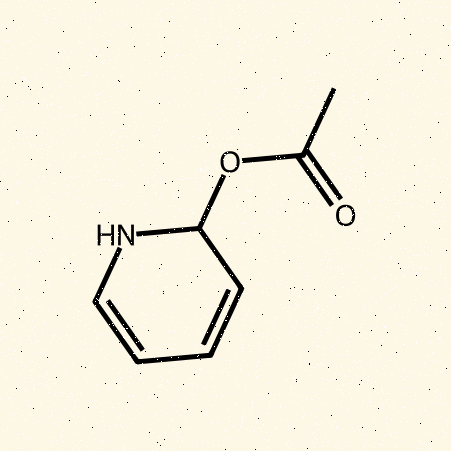 CC(=O)OC1C=CC=CN1